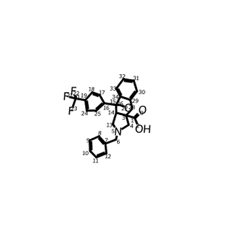 O=C(O)C12CN(Cc3ccccc3)CC1C1(c3ccc(C(F)(F)F)cc3)CCC2c2ccccc21